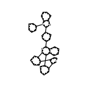 c1ccc(-n2c(-c3ccc(-c4nc5c(c6ccccc46)C4(c6ccccc6-c6ccccc64)c4ccccc4-5)cc3)nc3ccccc32)cc1